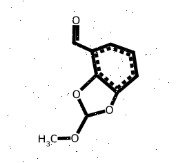 COC1Oc2cccc(C=O)c2O1